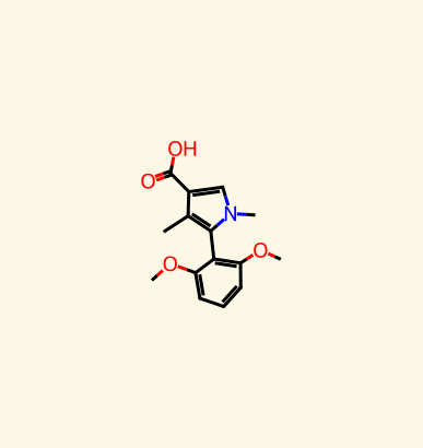 COc1cccc(OC)c1-c1c(C)c(C(=O)O)cn1C